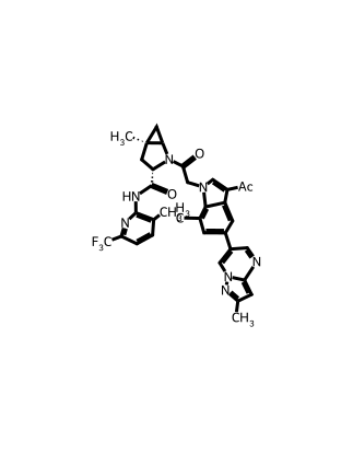 CC(=O)c1cn(CC(=O)N2C3C[C@]3(C)C[C@H]2C(=O)Nc2nc(C(F)(F)F)ccc2C)c2c(C)cc(-c3cnc4cc(C)nn4c3)cc12